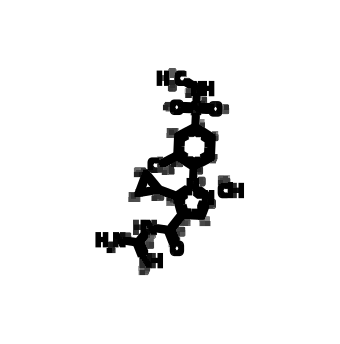 CNS(=O)(=O)c1ccc(-n2ncc(C(=O)NC(=N)N)c2C2CC2)c(Cl)c1.Cl